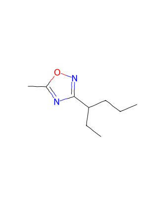 CCCC(CC)c1noc(C)n1